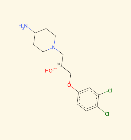 NC1CCN(C[C@@H](O)COc2ccc(Cl)c(Cl)c2)CC1